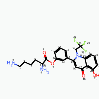 NCCCC[C@H](N)C(=O)Oc1cccc(-c2cc(=O)c3c(O)cccc3n2CC(F)(F)F)c1